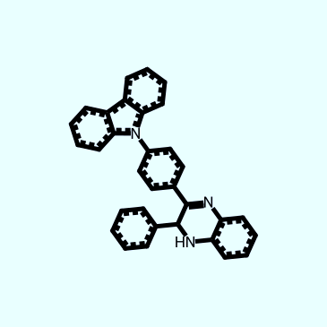 c1ccc(C2Nc3ccccc3N=C2c2ccc(-n3c4ccccc4c4ccccc43)cc2)cc1